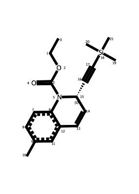 CCOC(=O)N1c2ccc(C)cc2C=C[C@H]1C#C[Si](C)(C)C